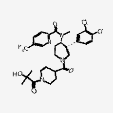 CN(C(=O)c1ccc(C(F)(F)F)cn1)[C@@H]1CCN(C(=O)C2CCN(C(=O)C(C)(C)O)CC2)C[C@H]1c1ccc(Cl)c(Cl)c1